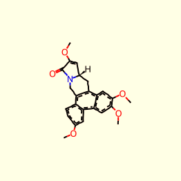 COC1=C[C@@H]2Cc3c(c4ccc(OC)cc4c4cc(OC)c(OC)cc34)CN2C1=O